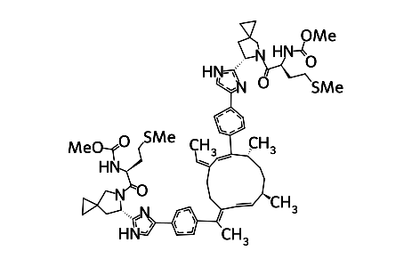 C/C=C1\C=C(\c2ccc(-c3c[nH]c([C@@H]4CC5(CC5)CN4C(=O)[C@H](CCSC)NC(=O)OC)n3)cc2)[C@H](C)CC[C@@H](C)/C=C\C(=C(/C)c2ccc(-c3c[nH]c([C@@H]4CC5(CC5)CN4C(=O)[C@H](CCSC)NC(=O)OC)n3)cc2)CC1